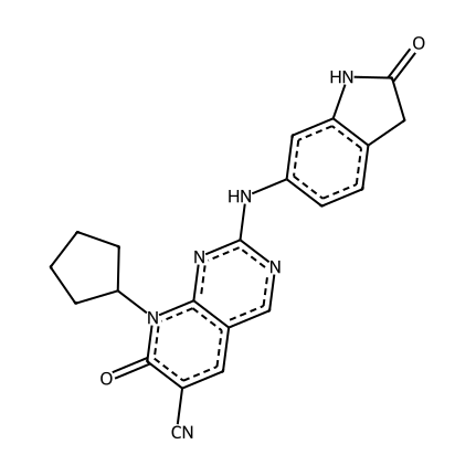 N#Cc1cc2cnc(Nc3ccc4c(c3)NC(=O)C4)nc2n(C2CCCC2)c1=O